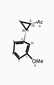 COc1cccc([C@@H]2C[C@@H]2C(C)=O)c1